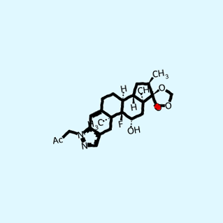 CC(=O)Cn1ncc2c1C=C1CC[C@H]3[C@@H]4C[C@@H](C)[C@@]5(OCOC56COCO6)[C@@]4(C)C[C@H](O)[C@]3(F)[C@@]1(C)C2